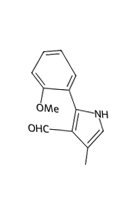 COc1ccccc1-c1[nH]cc(C)c1C=O